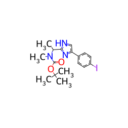 CC(c1nc(-c2ccc(I)cc2)c[nH]1)N(C)C(=O)OC(C)(C)C